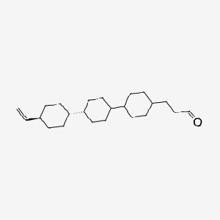 C=C[C@H]1CC[C@H](C2CCC(C3CCC(CCC=O)CC3)CC2)CC1